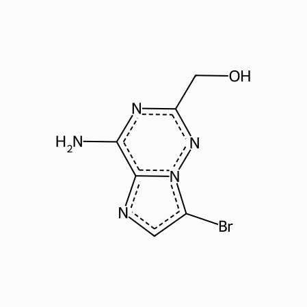 Nc1nc(CO)nn2c(Br)cnc12